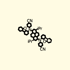 CC(C)c1cc(N(c2ccc(C#N)cc2)c2cccc3c2OC2C=CC=CC32)c2ccc3c(C(C)C)cc(N(c4ccc(C#N)cc4)c4cccc5c4oc4ccccc45)c4ccc1c2c34